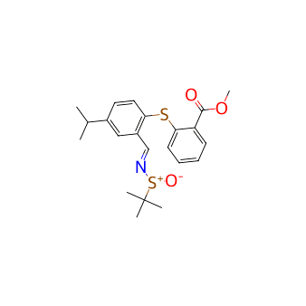 COC(=O)c1ccccc1Sc1ccc(C(C)C)cc1C=N[S+]([O-])C(C)(C)C